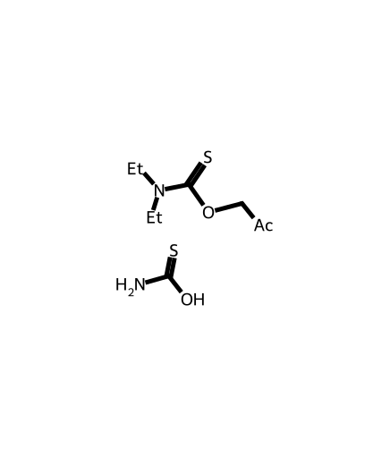 CCN(CC)C(=S)OCC(C)=O.NC(O)=S